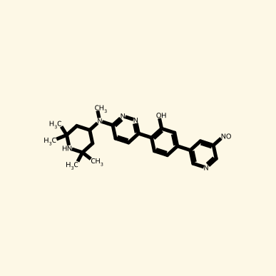 CN(c1ccc(-c2ccc(-c3cncc(N=O)c3)cc2O)nn1)C1CC(C)(C)NC(C)(C)C1